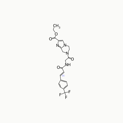 CCOC(=O)c1cn2c(n1)CN(C(=O)CNC(=O)/C=C/c1ccc(C(F)(F)F)cc1)CC2